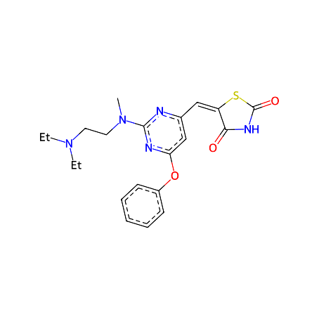 CCN(CC)CCN(C)c1nc(C=C2SC(=O)NC2=O)cc(Oc2ccccc2)n1